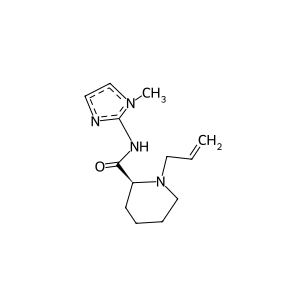 C=CCN1CCCC[C@H]1C(=O)Nc1nccn1C